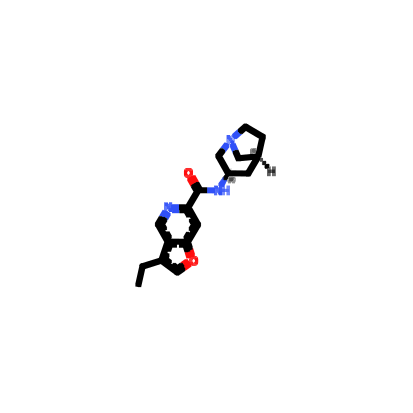 CCc1coc2cc(C(=O)N[C@@H]3C[C@@H]4CCN(C4)C3)ncc12